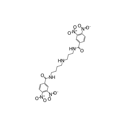 O=C(NCCCCNCCCNC(=O)c1ccc([N+](=O)[O-])c([N+](=O)[O-])c1)c1ccc([N+](=O)[O-])c([N+](=O)[O-])c1